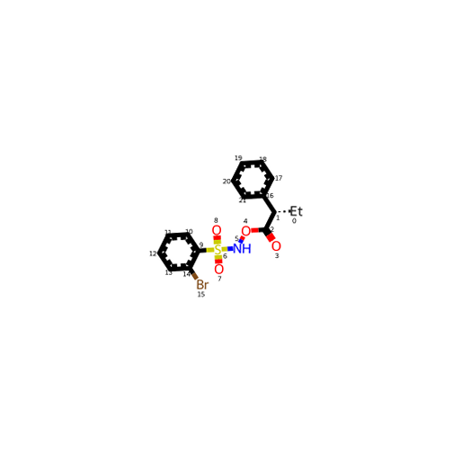 CC[C@H](C(=O)ONS(=O)(=O)c1ccccc1Br)c1ccccc1